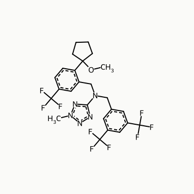 COC1(c2ccc(C(F)(F)F)cc2CN(Cc2cc(C(F)(F)F)cc(C(F)(F)F)c2)c2nnn(C)n2)CCCC1